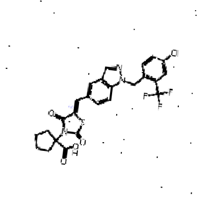 O=C1S/C(=C\c2ccc3c(cnn3Cc3ccc(Cl)cc3C(F)(F)F)c2)C(=O)N1C1(C(=O)O)CCCC1